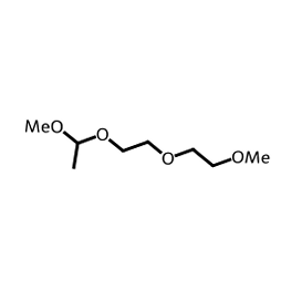 COCCOCCOC(C)OC